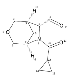 O=C[C@H]1[C@@H]2COC[C@@H](C2)N1C(=O)C1CC1